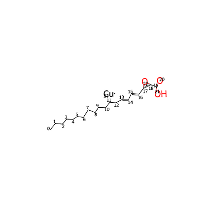 CCCCCCCCCCCCCC=CC=CC1=C(C(=O)O)O1.[Cu]